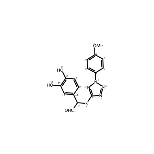 COc1ccc(-n2nnc(SC(C=O)c3ccc(O)c(O)c3)n2)cc1